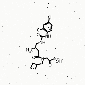 CC(CNC(=O)Nc1ccc(Cl)cc1Cl)CC(=O)N(CC(=O)NO)CC1CCC1